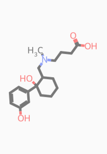 CN(CCCC(=O)O)CC1CCCCC1(O)c1cccc(O)c1